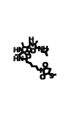 CSC1CC(=O)N(CCCCCC(=O)N[C@@H](C)C(=O)N[C@@H](C)C(=O)N[C@@H](C)C(=O)NCC(C)C)C1=O